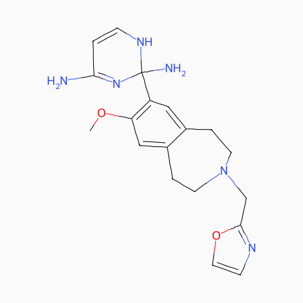 COc1cc2c(cc1C1(N)N=C(N)C=CN1)CCN(Cc1ncco1)CC2